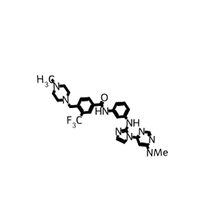 CNc1cc(-n2ccnc2Nc2cccc(NC(=O)c3ccc(CN4CCN(C)CC4)c(C(F)(F)F)c3)c2)ncn1